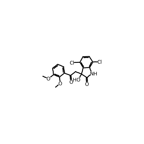 COc1cccc(C(=O)CC2(O)C(=O)Nc3c(Cl)ccc(Cl)c32)c1OC